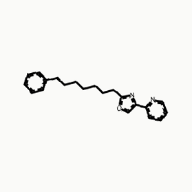 c1ccc(CCCCCCCc2nc(-c3ccccn3)co2)cc1